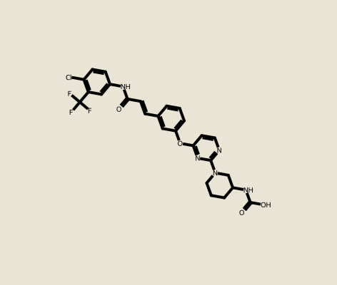 O=C(O)NC1CCCN(c2nccc(Oc3cccc(/C=C/C(=O)Nc4ccc(Cl)c(C(F)(F)F)c4)c3)n2)C1